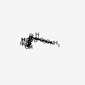 CC12CCC(=O)C(SCCC(=O)NCCCOCCOCCOCCCN)=C1CCC1C2C(O)CC2(C)C1CCC2(O)C(=O)CO